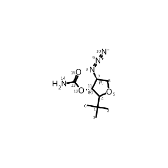 CC(C)(C)C1OC[C@H](N=[N+]=[N-])[C@H]1OC(N)=O